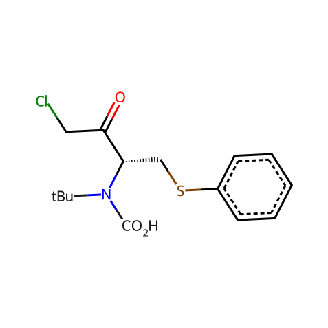 CC(C)(C)N(C(=O)O)[C@@H](CSc1ccccc1)C(=O)CCl